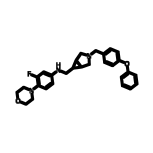 Fc1cc(NCC2C3CN(Cc4ccc(Oc5ccccc5)cc4)CC23)ccc1N1CCOCC1